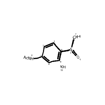 CC(=O)Nc1ccc(S(=O)O)cc1.[KH]